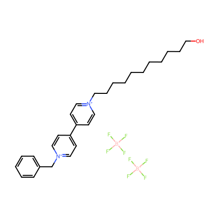 F[B-](F)(F)F.F[B-](F)(F)F.OCCCCCCCCCCC[n+]1ccc(-c2cc[n+](Cc3ccccc3)cc2)cc1